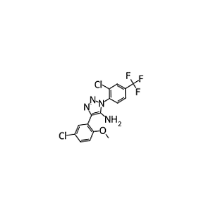 COc1ccc(Cl)cc1-c1nnn(-c2ccc(C(F)(F)F)cc2Cl)c1N